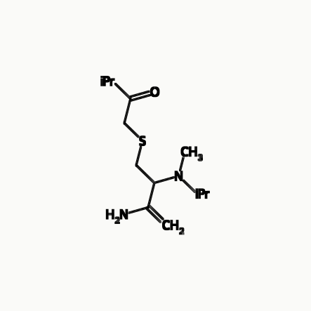 C=C(N)C(CSCC(=O)C(C)C)N(C)C(C)C